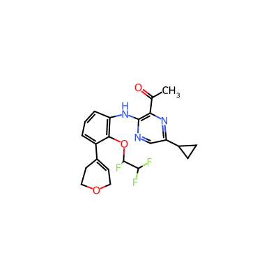 CC(=O)c1nc(C2CC2)cnc1Nc1cccc(C2=CCOCC2)c1OC(F)C(F)F